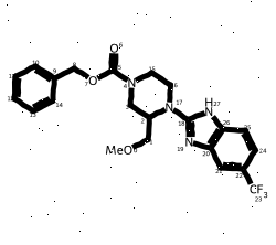 COCC1CN(C(=O)OCc2ccccc2)CCN1c1nc2cc(C(F)(F)F)ccc2[nH]1